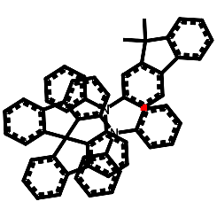 CC1(C)c2ccccc2-c2ccc(N(c3ccccc3)c3cccc4c3C3(c5ccccc5-c5cccc(N(c6ccccc6)c6ccccc6)c53)c3ccccc3-4)cc21